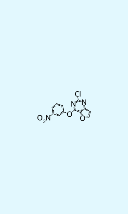 O=[N+]([O-])c1cccc(Oc2nc(Cl)nc3ccoc23)c1